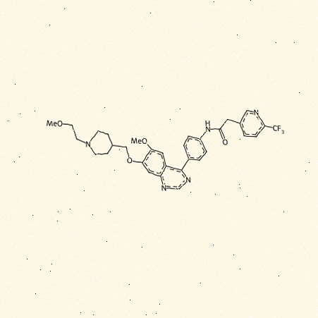 COCCN1CCC(COc2cc3ncnc(-c4ccc(NC(=O)Cc5ccc(C(F)(F)F)nc5)cc4)c3cc2OC)CC1